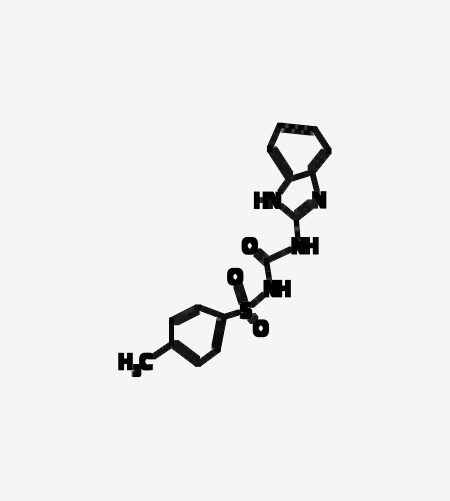 Cc1ccc(S(=O)(=O)NC(=O)Nc2nc3ccccc3[nH]2)cc1